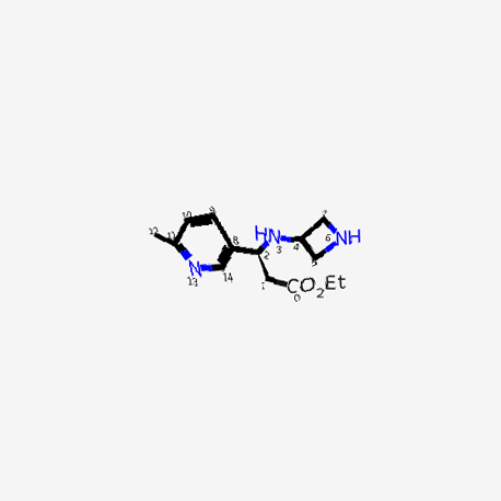 CCOC(=O)C[C@H](NC1CNC1)c1ccc(C)nc1